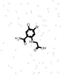 NC(=O)c1cc(Cl)c(Br)cc1NCC(=O)O